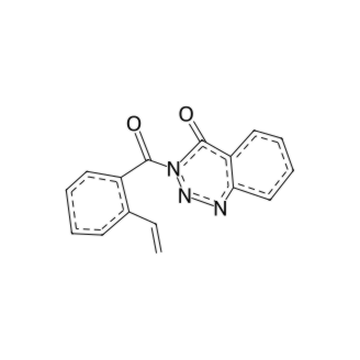 C=Cc1ccccc1C(=O)n1nnc2ccccc2c1=O